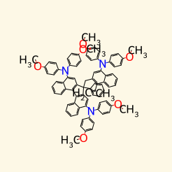 C=C(C)c1c(CC2(c3ccccc3)c3cc(N(c4ccc(OC)cc4)c4ccc(OC)cc4)c4ccccc4c3-c3c2cc(N(c2ccc(OC)cc2)c2ccc(OC)cc2)c2ccccc32)cc(N(c2ccc(OC)cc2)c2ccc(OC)cc2)c2ccccc12